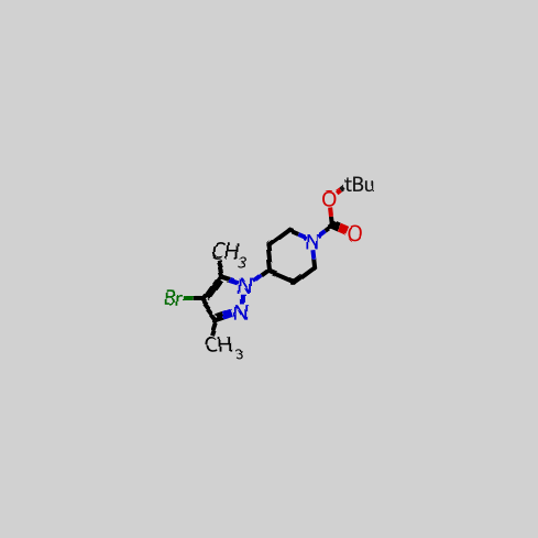 Cc1nn(C2CCN(C(=O)OC(C)(C)C)CC2)c(C)c1Br